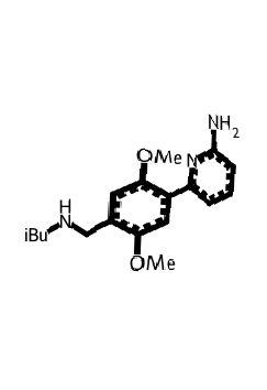 CCC(C)NCc1cc(OC)c(-c2cccc(N)n2)cc1OC